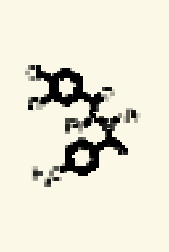 CCCN(C(=S)c1ccc(C)cc1)N(C(=O)c1ccc(Cl)c(Cl)c1)C(C)C